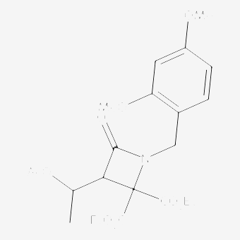 CCOC(=O)C1(C(=O)OCC)C(C(C)OC(C)=O)C(=O)N1Cc1ccc(OC)cc1OC